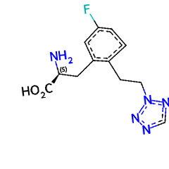 N[C@@H](Cc1cc(F)ccc1CCn1ncnn1)C(=O)O